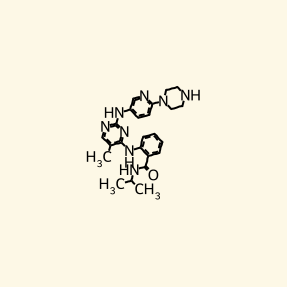 Cc1cnc(Nc2ccc(N3CCNCC3)nc2)nc1Nc1ccccc1C(=O)NC(C)C